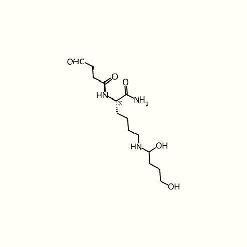 NC(=O)[C@H](CCCCNC(O)CCCO)NC(=O)CCC=O